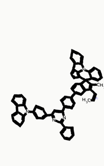 C/C=C\C1=C(C)C2(c3ccc(-c4ccc(-c5cc(-c6ccc(-n7c8ccccc8c8ccccc87)cc6)nc(-c6ccccc6)n5)cc4)cc31)c1ccccc1-n1c3ccccc3c3cccc2c31